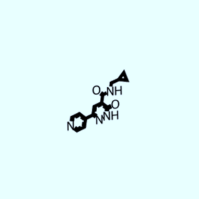 O=C(NCC1CC1)c1cc(-c2ccncc2)n[nH]c1=O